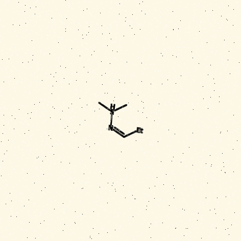 CC/C=N\[SH](C)C